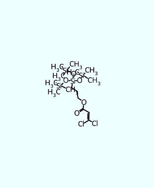 C[Si](C)(C)O[Si](CCCOC(=O)C=C(Cl)Cl)(O[Si](C)(C)C)O[Si](C)(C)C